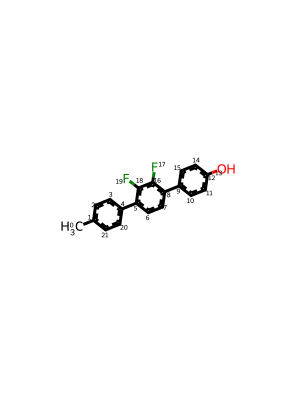 Cc1ccc(-c2ccc(-c3ccc(O)cc3)c(F)c2F)cc1